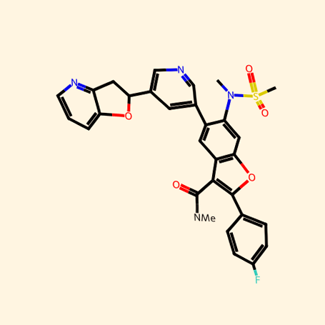 CNC(=O)c1c(-c2ccc(F)cc2)oc2cc(N(C)S(C)(=O)=O)c(-c3cncc(C4Cc5ncccc5O4)c3)cc12